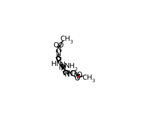 CCCOC(=O)N1CCN(c2ccc(Nc3nc(N)n(-c4ccnc(N5CCCN(S(=O)(=O)CCC)CC5)c4)n3)cc2)CC1